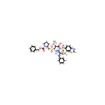 CC(CS(=O)(=O)C[C@@H]1CCCN1C(=O)OCc1ccccc1)C(=O)N([C@H](N)[C@@H](C)Cc1ccccc1)S(=O)(=O)c1ccc2ncsc2c1